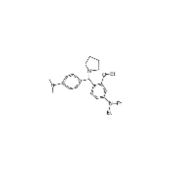 CCOc1cc(N(CC)CC)ccc1C(c1ccc(N(C)C)cc1)N1CCCC1